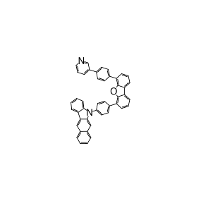 c1cncc(-c2ccc(-c3cccc4c3oc3c(-c5ccc(-n6c7ccccc7c7cc8ccccc8cc76)cc5)cccc34)cc2)c1